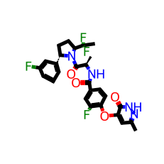 Cc1cc(Oc2ccc(C(=O)N[C@H](C)C(=O)N3C(C(C)(F)F)CC[C@H]3c3cccc(F)c3)cc2F)c(=O)[nH]n1